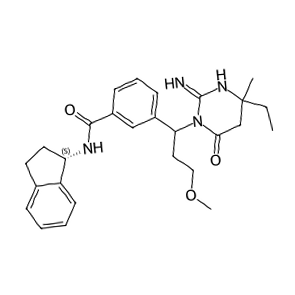 CCC1(C)CC(=O)N(C(CCOC)c2cccc(C(=O)N[C@H]3CCc4ccccc43)c2)C(=N)N1